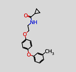 Cc1cccc(Oc2ccc(OCCNC(=O)C3CC3)cc2)c1